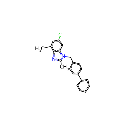 Cc1cc(Cl)cc2c1nc(C)n2Cc1ccc(-c2ccccc2)cc1